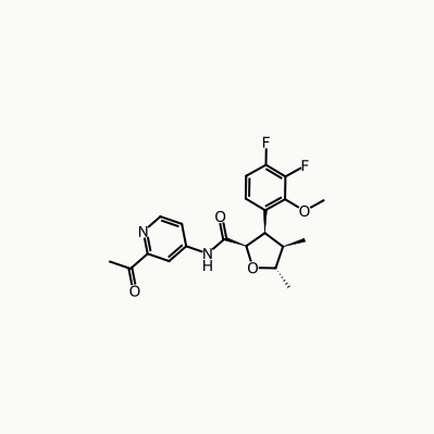 COc1c([C@H]2[C@@H](C)[C@H](C)O[C@H]2C(=O)Nc2ccnc(C(C)=O)c2)ccc(F)c1F